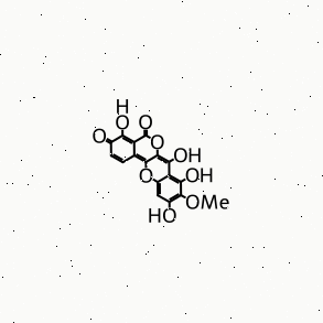 COc1c(O)cc2oc3c(oc(=O)c4c(O)c(=O)ccc43)c(O)c2c1O